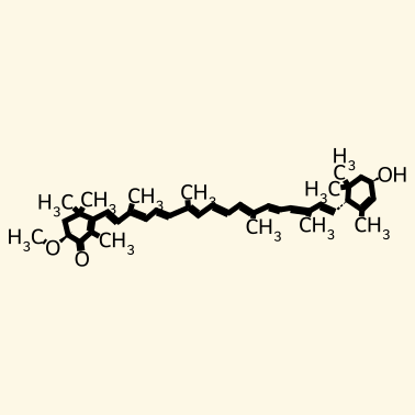 CO[C@H]1CC(C)(C)C(/C=C/C(C)=C/C=C/C(C)=C/C=C/C=C(C)/C=C/C=C(C)/C=C/[C@H]2C(C)=C[C@@H](O)CC2(C)C)=C(C)C1=O